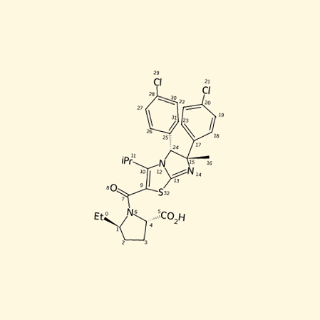 CC[C@@H]1CC[C@@H](C(=O)O)N1C(=O)C1=C(C(C)C)N2C(=N[C@@](C)(c3ccc(Cl)cc3)[C@H]2c2ccc(Cl)cc2)S1